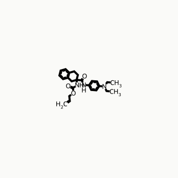 C=CCOC(=O)NC1(C(=O)Nc2ccc(N(CC)CC)cc2)CCc2ccccc2C1